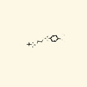 CC(C)(C)[Si](C)(C)OCCNS(=O)(=O)c1ccc(B(O)O)cc1